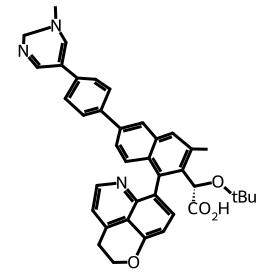 Cc1cc2cc(-c3ccc(C4=CN(C)CN=C4)cc3)ccc2c(-c2ccc3c4c(ccnc24)CCO3)c1[C@H](OC(C)(C)C)C(=O)O